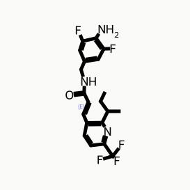 CCC(C)c1nc(C(F)(F)F)ccc1/C=C/C(=O)NCc1cc(F)c(N)c(F)c1